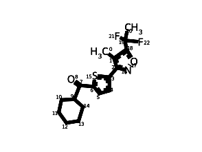 Cc1c(-c2ccc(C(=O)C3CCCCC3)s2)noc1C(C)(F)F